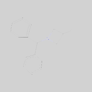 O=C(O)C1CN(C(C2=C=C=CC=C2)c2ccccc2)C1